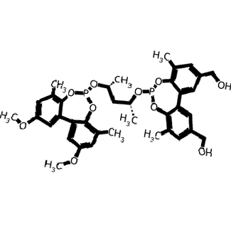 COc1cc(C)c2op(O[C@H](C)C[C@@H](C)Op3oc4c(C)cc(CO)cc4c4cc(CO)cc(C)c4o3)oc3c(C)cc(OC)cc3c2c1